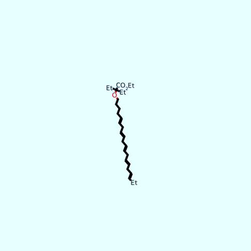 CCC=CCC=CCC=CCC=CCC=CCCCCOC(CC)(CC)C(=O)OCC